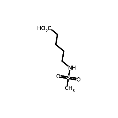 CS(=O)(=O)NCCCCC(=O)O